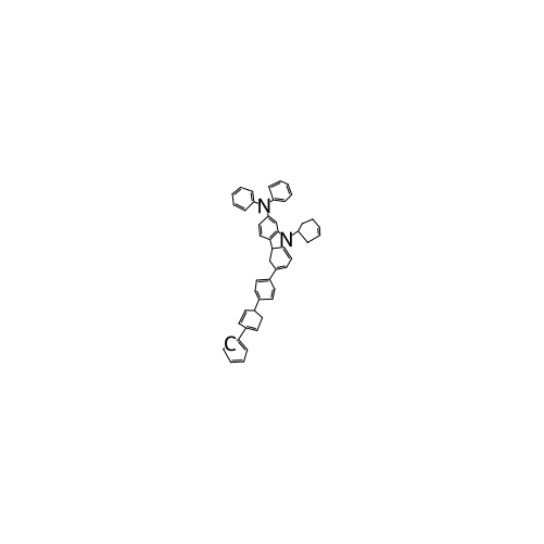 C1=CCCC(C2=CCC(c3ccc(C4=CC=C5C(C4)c4ccc(N(c6ccccc6)c6ccccc6)cc4N5C4CC=CCC4)cc3)C=C2)=C1